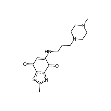 Cc1nc2c(s1)C(=O)C=C(NCCCN1CCN(C)CC1)C2=O